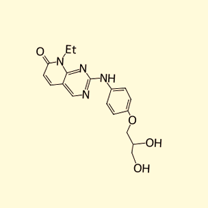 CCn1c(=O)ccc2cnc(Nc3ccc(OCC(O)CO)cc3)nc21